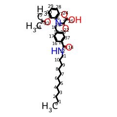 CCCCCCCCCCCCNC(=O)c1ccc(CN(C(=O)C(=O)O)c2ccccc2OC(C)C)cc1